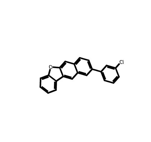 Clc1cccc(-c2ccc3cc4oc5ccccc5c4cc3c2)c1